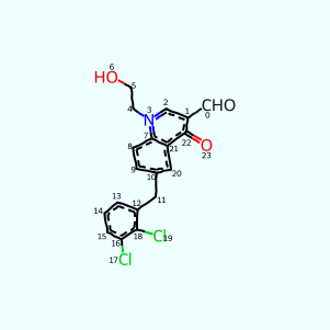 O=Cc1cn(CCO)c2ccc(Cc3cccc(Cl)c3Cl)cc2c1=O